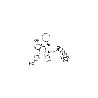 CN(C)CCn1c(C(=O)NC2CCCCCCC2)c(C(c2ccc(O)cc2)c2ccc(O)cc2)c2ccccc21.CS(=O)(=O)O